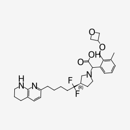 Cc1cccc(C(C(=O)O)N2CC[C@@H](C(F)(F)CCCCc3ccc4c(n3)NCCC4)C2)c1COC1COC1